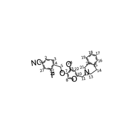 N#Cc1ccc(COc2coc(CN3CCc4ccccc4C3)cc2=O)c(F)c1